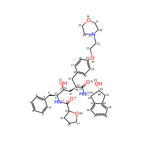 O=C(N[C@@H](Cc1ccccc1)[C@@H](O)C[C@@H](Cc1ccc(OCCN2CCOCC2)cc1)C(=O)N[C@H]1c2ccccc2C[C@H]1O)C1CCCO1